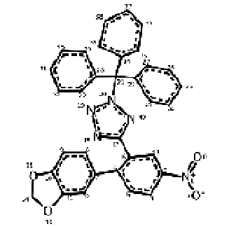 O=[N+]([O-])c1ccc(-c2ccc3c(c2)OCO3)c(-c2nnn(C(c3ccccc3)(c3ccccc3)c3ccccc3)n2)c1